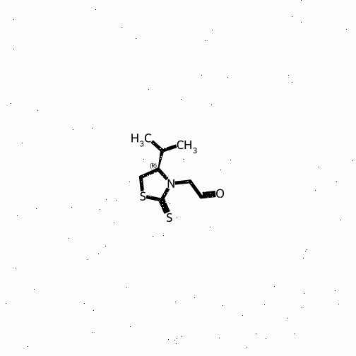 CC(C)[C@@H]1CSC(=S)N1CC=O